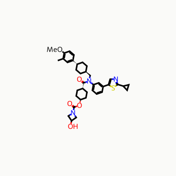 COc1ccc([C@H]2CC[C@H](CN(c3cccc(-c4cnc(C5CC5)s4)c3)C(=O)[C@H]3CC[C@H](OC(=O)N4CC(O)C4)CC3)CC2)cc1C